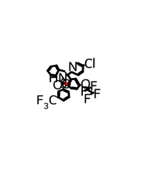 O=S(=O)(N[C@@](Cc1ccccc1)(c1cccc(OC(F)(F)C(F)F)c1)c1ccc(Cl)cn1)c1cccc(C(F)(F)F)c1